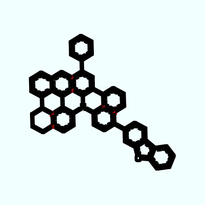 c1ccc(-c2ccc(N(c3ccc(-c4ccc5c(c4)oc4ccccc45)cc3)c3ccccc3-c3cccc4cccc(C5CCCCC5)c34)c(-c3ccccc3)c2)cc1